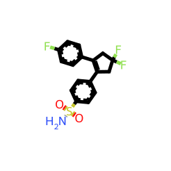 NS(=O)(=O)c1ccc(C2=C(c3ccc(F)cc3)CC(F)(F)C2)cc1